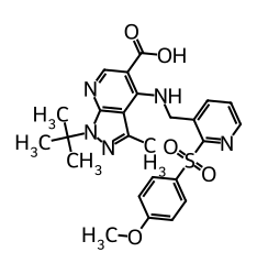 COc1ccc(S(=O)(=O)c2ncccc2CNc2c(C(=O)O)cnc3c2c(C)nn3C(C)(C)C)cc1